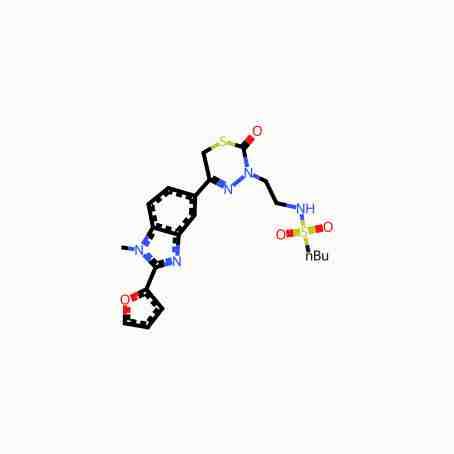 CCCCS(=O)(=O)NCCN1N=C(c2ccc3c(c2)nc(-c2ccco2)n3C)CSC1=O